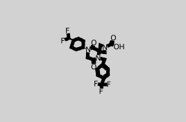 O=C(O)N1CC2(C1)C(=O)N([C@H]1CC[C@H](C(F)F)CC1)CC(=O)N2Cc1ccc(C(F)(F)F)cc1